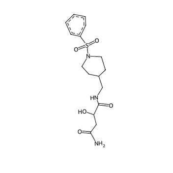 NC(=O)CC(O)C(=O)NCC1CCN(S(=O)(=O)c2ccccc2)CC1